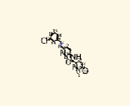 CN1N=C(C(=O)Nc2ccc(/C=C/c3cccc(Cl)c3)nn2)CCC1=O